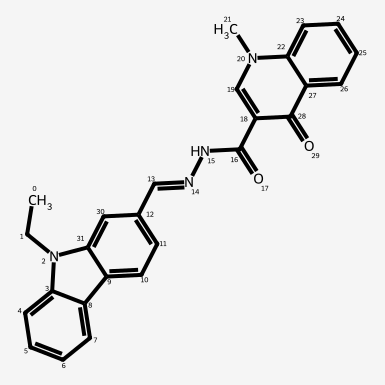 CCn1c2ccccc2c2ccc(C=NNC(=O)c3cn(C)c4ccccc4c3=O)cc21